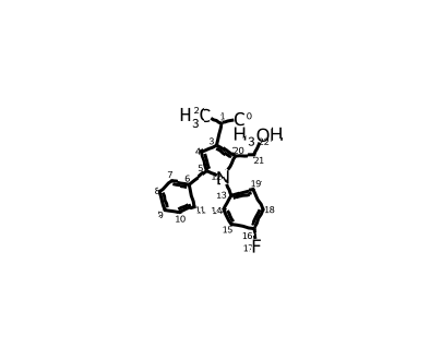 CC(C)c1cc(-c2ccccc2)n(-c2ccc(F)cc2)c1CO